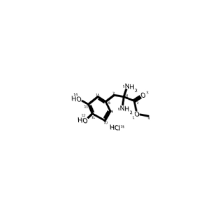 COC(=O)C(N)(N)Cc1ccc(O)c(O)c1.Cl